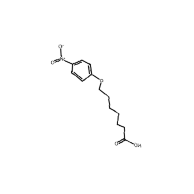 O=C(O)CCCCCCOc1ccc([N+](=O)[O-])cc1